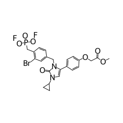 COC(=O)COc1ccc(-c2cn(C3CC3)c(=O)n2Cc2ccc(CP(=O)(OF)OF)c(Br)c2)cc1